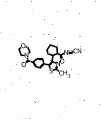 Cc1nc(C2CCCCC2C(=O)NCC#N)c(-c2ccc(C(=O)N3CCOCC3)cc2)s1